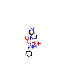 CCC(C(O)C(=O)NCC1CCCCC1)N(C=O)c1ccncc1